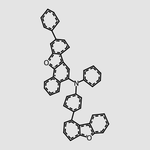 c1ccc(-c2ccc3c(c2)oc2c4ccccc4c(N(c4ccccc4)c4ccc(-c5cccc6oc7ccccc7c56)cc4)cc32)cc1